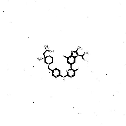 Cc1nc2c(F)cc(-c3nc(Nc4ccc(CN5CCO[C@@](C)(C[C@@H](C)O)C5)cn4)ncc3F)cc2n1C(C)C